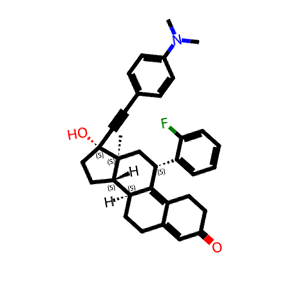 CN(C)c1ccc(C#C[C@]2(O)CC[C@H]3[C@@H]4CCC5=CC(=O)CCC5=C4[C@@H](c4ccccc4F)C[C@@]32C)cc1